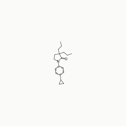 CCCC1(CCC)CCN(c2ccc(C3CC3)cc2)C1=O